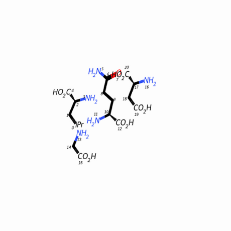 CC(C)C[C@H](N)C(=O)O.NC(=O)CC[C@H](N)C(=O)O.NCC(=O)O.N[C@@H](CC(=O)O)C(=O)O